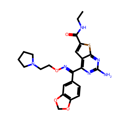 CCNC(=O)c1cc2c(C(=NOCCN3CCCC3)c3ccc4c(c3)OCO4)nc(N)nc2s1